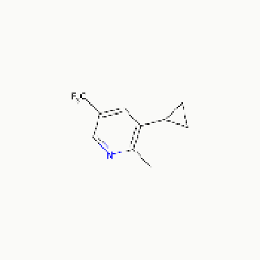 Cc1ncc(C(F)(F)F)cc1C1CC1